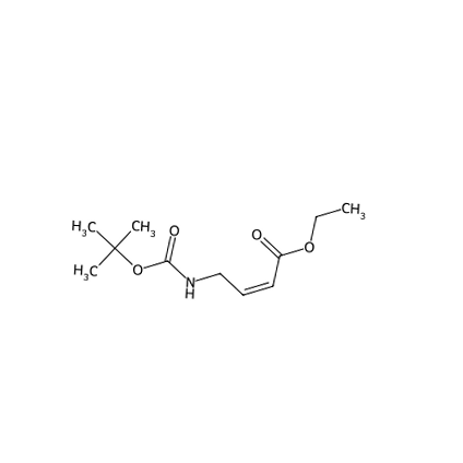 CCOC(=O)/C=C\CNC(=O)OC(C)(C)C